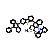 C=Cc1c(/C=C\C)c(-c2cccc3c2sc2cc(-c4c5ccccc5c(-c5ccccc5)c5ccccc45)ccc23)c2ccccc2c1-n1c2ccccc2c2ccccc21